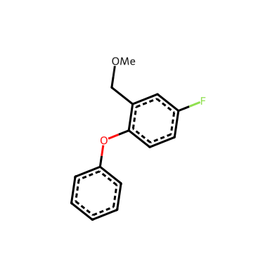 COCc1cc(F)ccc1Oc1ccccc1